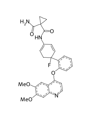 COc1cc2nccc(Oc3ccccc3C3(F)C=CC(NC(=O)C4(C(N)=O)CC4)=CC3)c2cc1OC